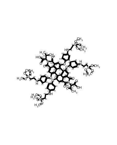 CO[Si](CCNc1ccc(Oc2cc3c4c(cc(Oc5ccc(NCC[Si](OC)(OC)OC)cc5)c5c6c(Oc7ccc(NCC[Si](OC)(OC)OC)cc7)cc7c8c(cc(Oc9ccc(NCC[Si](OC)(OC)OC)cc9)c(c2c45)c86)C(=O)N(C(C(=O)O)C(C)C)C7=O)C(=O)N(C(C(=O)O)C(C)C)C3=O)cc1)(OC)OC